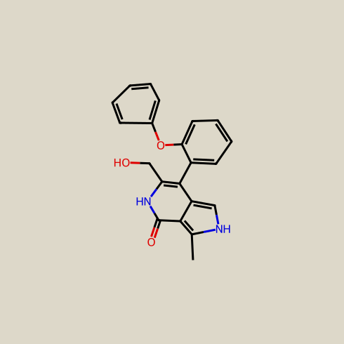 Cc1[nH]cc2c(-c3ccccc3Oc3ccccc3)c(CO)[nH]c(=O)c12